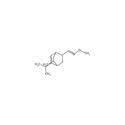 CO/N=C/C1CC2C(C)=CC1CC2C(C)C